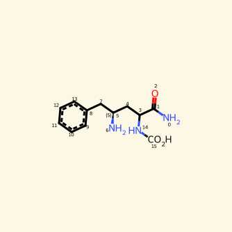 NC(=O)C(C[C@@H](N)Cc1ccccc1)NC(=O)O